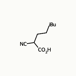 CCC(C)CCC(C#N)C(=O)O